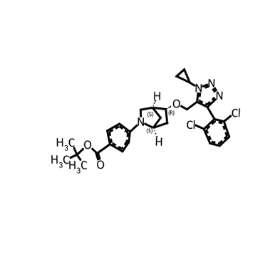 CC(C)(C)OC(=O)c1ccc(N2C[C@@H]3C[C@H]2C[C@H]3OCc2c(-c3c(Cl)cccc3Cl)nnn2C2CC2)cc1